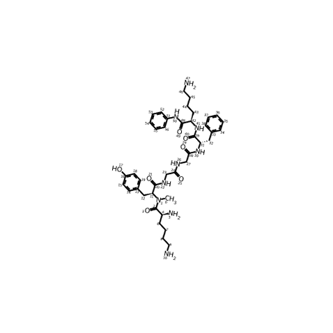 CN(C(=O)[C@@H](N)CCCCN)[C@@H](Cc1ccc(O)cc1)C(=O)NCC(=O)NCC(=O)N[C@@H](Cc1ccccc1)C(=O)N[C@H](CCCCN)C(=O)Nc1ccccc1